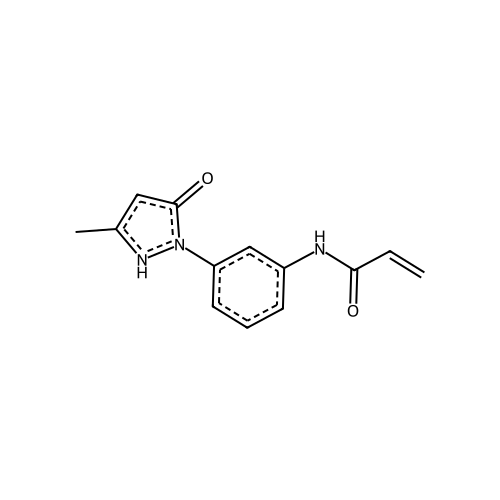 C=CC(=O)Nc1cccc(-n2[nH]c(C)cc2=O)c1